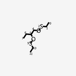 CCSOCC(CC)OSCC